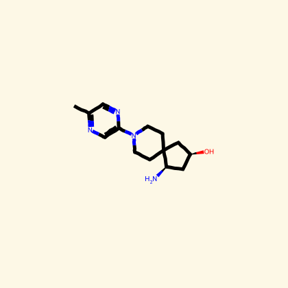 Cc1cnc(N2CCC3(CC2)C[C@@H](O)C[C@H]3N)cn1